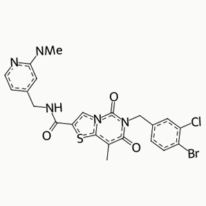 CNc1cc(CNC(=O)c2cn3c(=O)n(Cc4ccc(Br)c(Cl)c4)c(=O)c(C)c3s2)ccn1